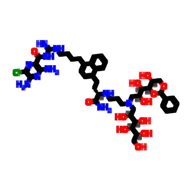 N=C(NCCCCc1ccc(CC[C@H](NCCCN(C[C@H](O)[C@@H](O)[C@H](O)[C@H](O)CO)C[C@H](O)[C@@H](O)[C@@H]2OC(c3ccccc3)OC[C@H]2O)C(N)=O)c2ccccc12)NC(=O)c1nc(Cl)c(N)nc1N